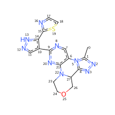 Cc1nnc2n1-c1cnc(-c3cn[nH]c3-c3nccs3)nc1N1CCOCC21